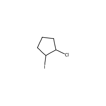 ClC1CCCC1I